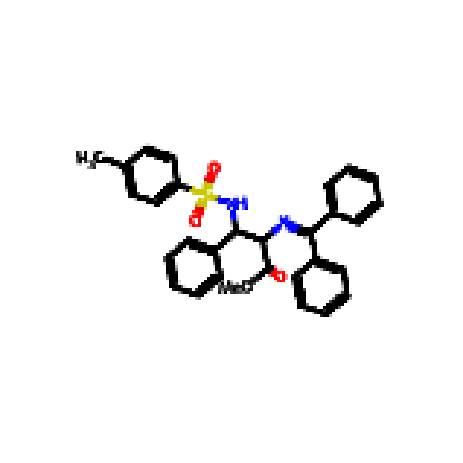 COC(=O)C(N=C(c1ccccc1)c1ccccc1)C(NS(=O)(=O)c1ccc(C)cc1)c1ccccc1